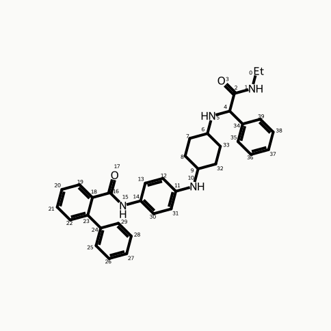 CCNC(=O)C(NC1CCC(Nc2ccc(NC(=O)c3ccccc3-c3ccccc3)cc2)CC1)c1ccccc1